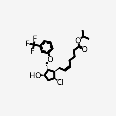 CC(C)OC(=O)CCC/C=C\C[C@@H]1[C@@H](COc2cccc(C(F)(F)F)c2)[C@H](O)C[C@@H]1Cl